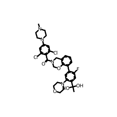 CN1CCN(c2cc(Cl)c(C(=O)N3COc4c(cccc4-c4cc(N5CCOCC5)c(C(C)(O)O)cc4F)C3)c(Cl)c2)CC1